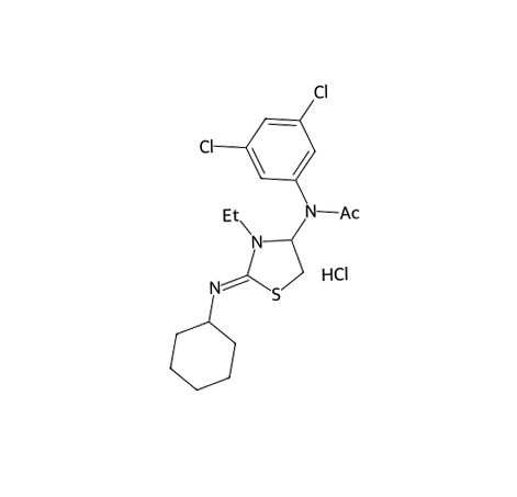 CCN1C(=NC2CCCCC2)SCC1N(C(C)=O)c1cc(Cl)cc(Cl)c1.Cl